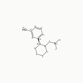 CN(C)CC1CCCC[C@H]1c1cccc(O)c1